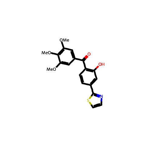 COc1cc(C(=O)c2ccc(-c3nccs3)cc2O)cc(OC)c1OC